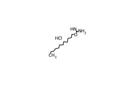 CCCCCCCCCCCCOC(=N)N.Cl